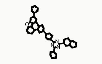 c1ccc(-c2cc3oc4cccc5c6cc(-c7ccc(-c8nc(-c9ccccc9)nc(-c9ccc%10ccccc%10c9)n8)cc7)ccc6c(c2)c3c45)cc1